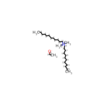 CCCCCCCCCCCC[N+](C)(C)CCCCCCCCCCCC.CC[O-]